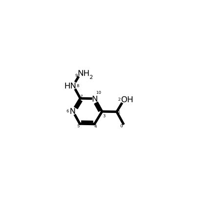 CC(O)c1ccnc(NN)n1